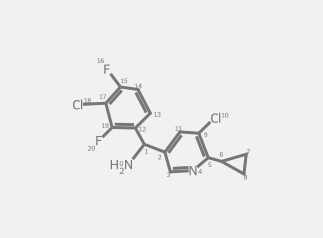 NC(c1cnc(C2CC2)c(Cl)c1)c1ccc(F)c(Cl)c1F